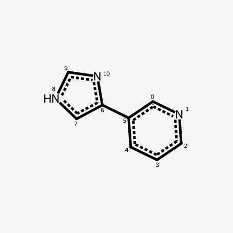 [c]1ncccc1-c1c[nH]cn1